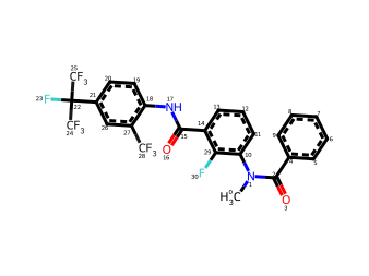 CN(C(=O)c1ccccc1)c1cccc(C(=O)Nc2ccc(C(F)(C(F)(F)F)C(F)(F)F)cc2C(F)(F)F)c1F